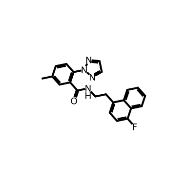 Cc1ccc(-n2nccn2)c(C(=O)NCCc2ccc(F)c3ccccc23)c1